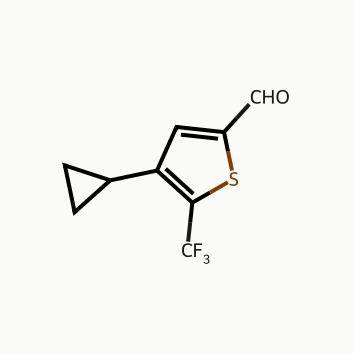 O=Cc1cc(C2CC2)c(C(F)(F)F)s1